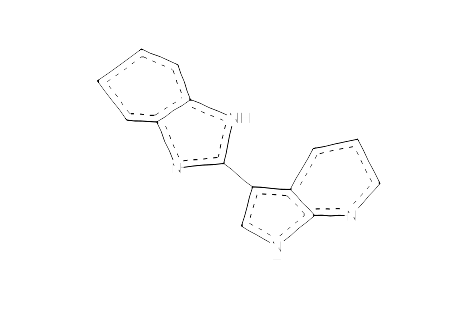 [c]1ccc2[nH]c(-c3c[nH]c4ncccc34)nc2c1